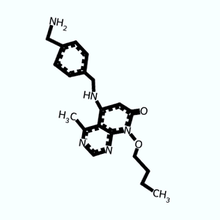 CCCCOn1c(=O)cc(NCc2ccc(CN)cc2)c2c(C)ncnc21